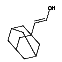 OC=CC12CC3CC(CC(C3)C1)C2